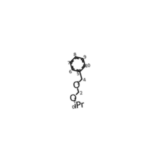 [CH2]C(C)OCOCc1ccccc1